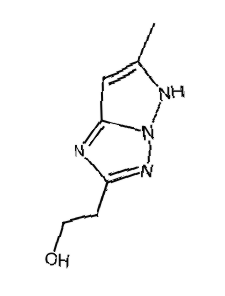 Cc1cc2nc(CCO)nn2[nH]1